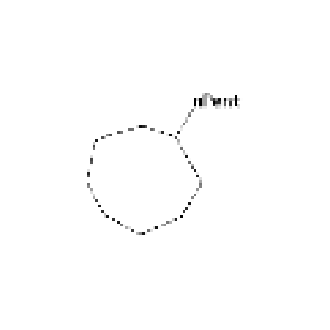 CCCC[CH]C1CCCCCCC1